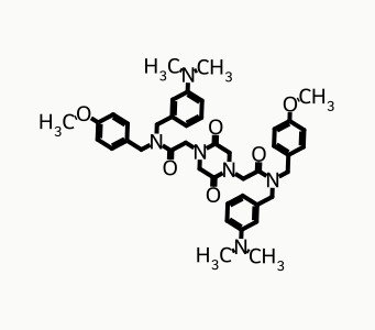 COc1ccc(CN(Cc2cccc(N(C)C)c2)C(=O)CN2CC(=O)N(CC(=O)N(Cc3ccc(OC)cc3)Cc3cccc(N(C)C)c3)CC2=O)cc1